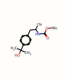 CC(C)(C)OC(=O)NC(C#N)Cc1ccc(C(C)(C)O)cc1